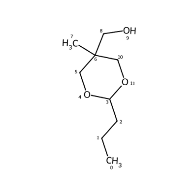 CCCC1OCC(C)(CO)CO1